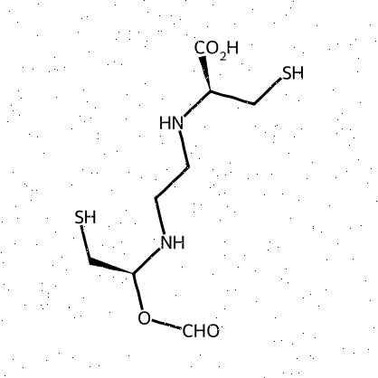 O=CO[C@@H](CS)NCCN[C@H](CS)C(=O)O